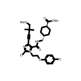 COCC(C)(C)C#Cc1nc(Cl)n(CCOc2ccc(Cl)cc2)c1C(=O)NC[C@H]1CC[C@H](C(=O)OC)CC1